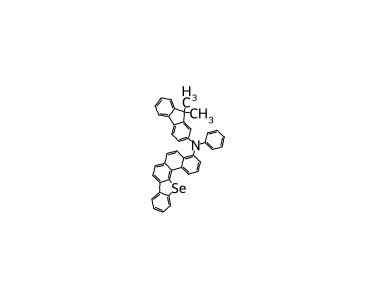 CC1(C)c2ccccc2-c2ccc(N(c3ccccc3)c3cccc4c3ccc3ccc5c6ccccc6[se]c5c34)cc21